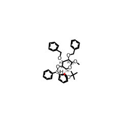 CO[C@H]1O[C@H](COC(C)(C)C)[C@@H](O[SiH](c2ccccc2)c2ccccc2)[C@H](OCc2ccccc2)[C@H]1OCc1ccccc1